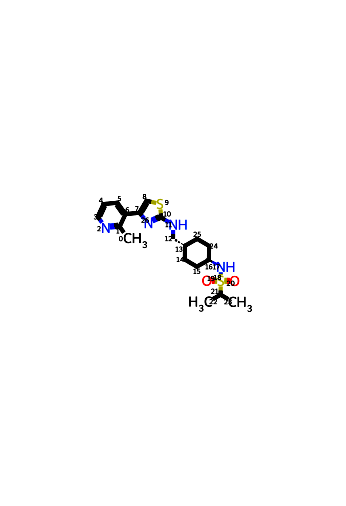 Cc1ncccc1-c1csc(NC[C@H]2CC[C@H](NS(=O)(=O)C(C)C)CC2)n1